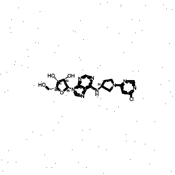 OC[C@H]1O[C@@H](n2cnc3c(N[C@H]4CCN(c5cc(Cl)ncn5)C4)ncnc32)[C@@H](O)[C@H]1O